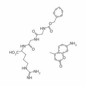 Cc1cc(=O)oc2cc(N)ccc12.N=C(N)NCCCC(NC(=O)CNC(=O)CNC(=O)OCc1ccccc1)C(=O)O